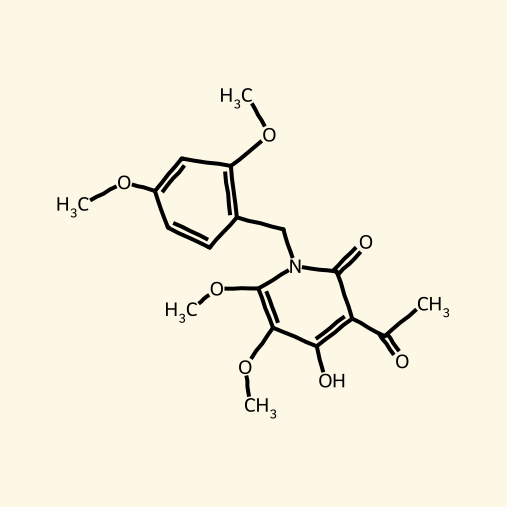 COc1ccc(Cn2c(OC)c(OC)c(O)c(C(C)=O)c2=O)c(OC)c1